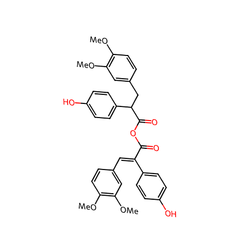 COc1ccc(C=C(C(=O)OC(=O)C(Cc2ccc(OC)c(OC)c2)c2ccc(O)cc2)c2ccc(O)cc2)cc1OC